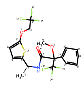 COC(C(=O)N[C@H](C)c1ccc(OCC(F)(F)F)s1)(c1ccccc1)C(F)(F)F